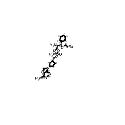 C[C@@H](C(=O)OP(N)(=O)OC[C@H]1C=C[C@@H](n2cnc3c(N)ncnc32)C1)N(OCC(C)(C)C)c1ccccc1